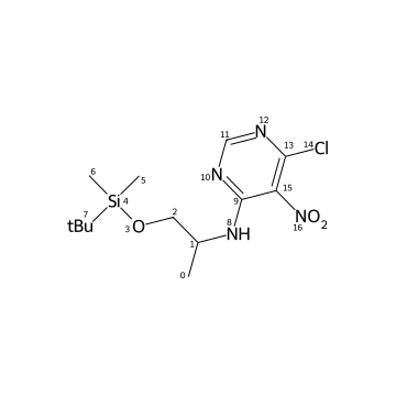 CC(CO[Si](C)(C)C(C)(C)C)Nc1ncnc(Cl)c1[N+](=O)[O-]